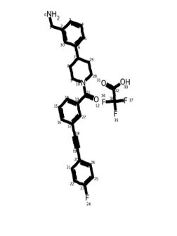 NCc1cccc(C2CCN(C(=O)c3cccc(C#Cc4ccc(F)cc4)c3)CC2)c1.O=C(O)C(F)(F)F